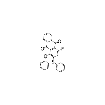 O=C1c2ccccc2C(=O)c2c(Oc3ccccc3)c(Sc3ccccc3)cc(F)c21